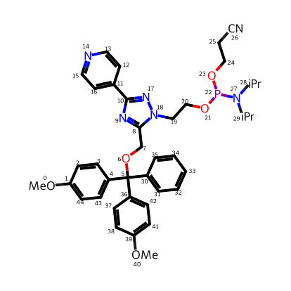 COc1ccc(C(OCc2nc(-c3ccncc3)nn2CCOP(OCCC#N)N(C(C)C)C(C)C)(c2ccccc2)c2ccc(OC)cc2)cc1